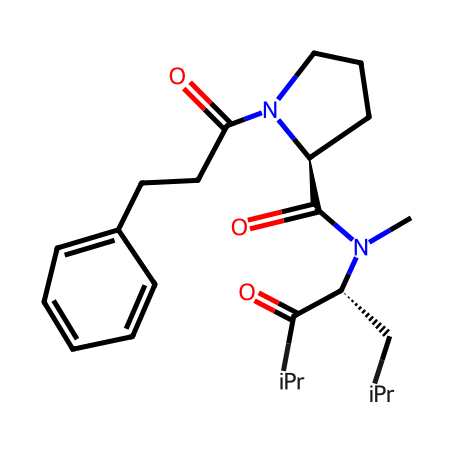 CC(C)C[C@H](C(=O)C(C)C)N(C)C(=O)[C@@H]1CCCN1C(=O)CCc1ccccc1